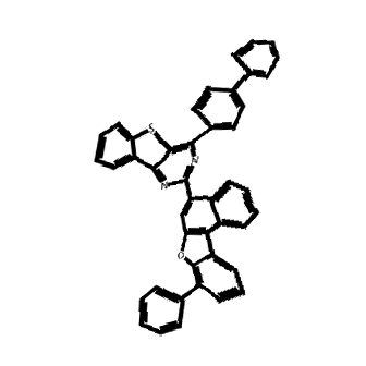 c1ccc(-c2ccc(-c3nc(-c4cc5oc6c(-c7ccccc7)cccc6c5c5ccccc45)nc4c3sc3ccccc34)cc2)cc1